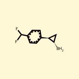 B[C@H]1C[C@@H]1c1ccc(C(F)F)cc1